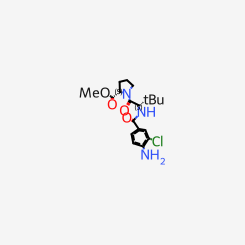 COC(=O)[C@@H]1CCCN1C(=O)[C@@H](NC(=O)c1ccc(N)c(Cl)c1)C(C)(C)C